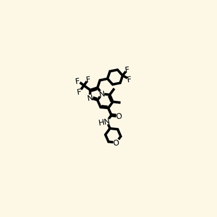 Cc1c(C(=O)NC2CCOCC2)cc2nc(C(F)(F)F)c(CC3CCC(F)(F)CC3)n2c1C